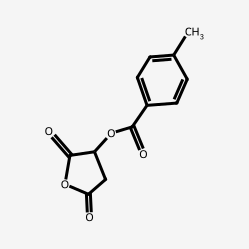 Cc1ccc(C(=O)OC2CC(=O)OC2=O)cc1